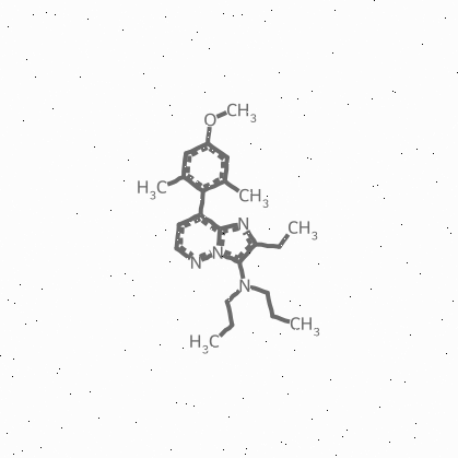 CCCN(CCC)c1c(CC)nc2c(-c3c(C)cc(OC)cc3C)ccnn12